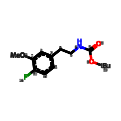 COc1cc(CCNC(=O)OC(C)(C)C)ccc1F